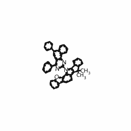 CC1(C)c2ccccc2-c2c1c1ccc3c4ccccc4oc3c1n2-c1nc(-c2ccccc2)c2cc(-c3ccccc3)c3ccccc3c2n1